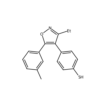 CCc1noc(-c2cccc(C)c2)c1-c1ccc(S)cc1